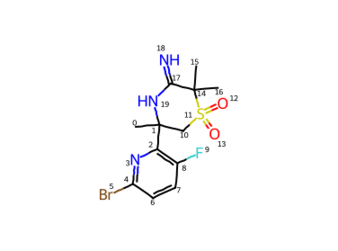 CC1(c2nc(Br)ccc2F)CS(=O)(=O)C(C)(C)C(=N)N1